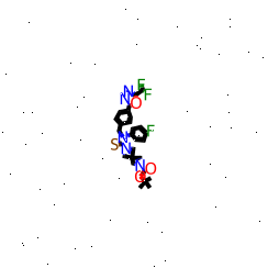 CC(C)(C)OC(=O)N1CC2(C1)CN(C(=S)N(Cc1ccc(-c3nnc(C(F)F)o3)cc1)c1ccc(F)cc1)C2